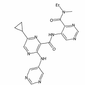 CCN(C)C(=O)c1ncncc1NC(=O)c1nc(C2CC2)cnc1Nc1cncnc1